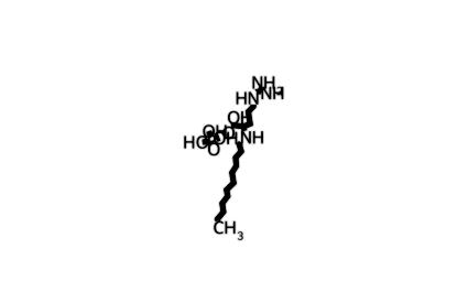 CCCCCCCCCCCCNC(CCCNC(=N)N)C(=O)O.O=P(O)(O)O